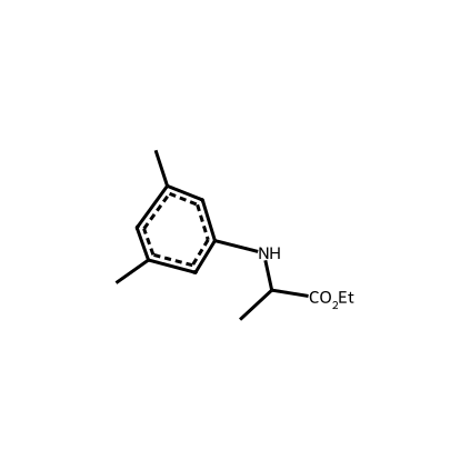 CCOC(=O)C(C)Nc1cc(C)cc(C)c1